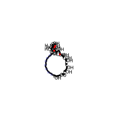 C[C@@H]1[C@H](O)[C@@H](C)/C=C/C=C/C=C/C=C/C=C/C=C/C=C/[C@H](O[C@@H]2O[C@H](C)[C@@H](O)[C@H](N)[C@H]2O)C[C@@H]2O[C@](O)(C[C@@H](O)C[C@@H](O)[C@H](O)CC[C@@H](O)C[C@@H](O)CC(=O)O[C@H]1C)C[C@H](O)[C@H]2C(=O)NC(CO)(CO)CO